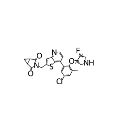 Cc1cc(Cl)cc(-c2ccnc3cc(CN4C(=O)C5CC5C4=O)sc23)c1O[C@@H]1CNC[C@@H]1F